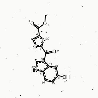 COC(=O)c1csc(C(=O)c2c[nH]c3ccc(O)cc23)n1